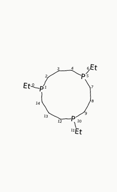 CCP1CCCP(CC)CCCP(CC)CCC1